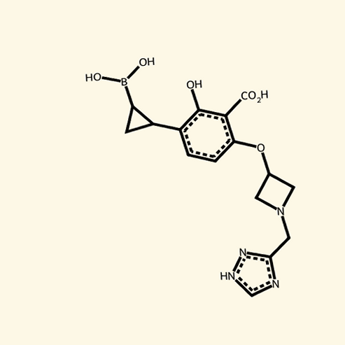 O=C(O)c1c(OC2CN(Cc3nc[nH]n3)C2)ccc(C2CC2B(O)O)c1O